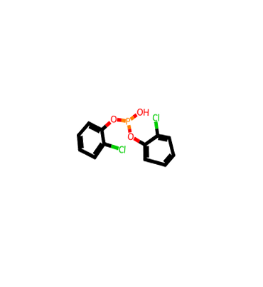 OP(Oc1ccccc1Cl)Oc1ccccc1Cl